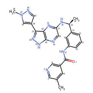 Cc1cncc(C(=O)Nc2cccc([C@H](C)Nc3cnc4[nH]nc(-c5cnn(C)c5)c4n3)c2)c1